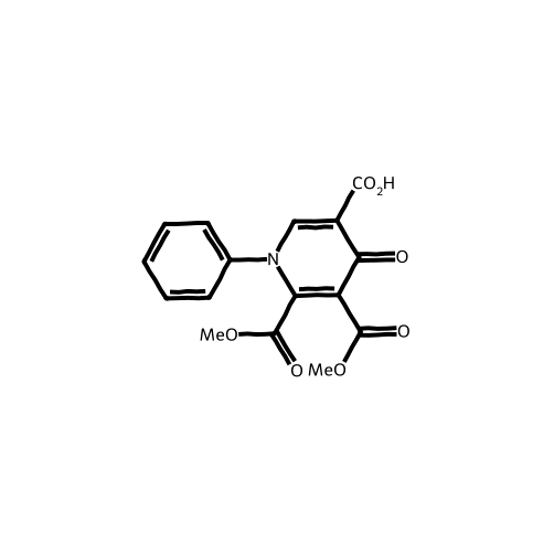 COC(=O)c1c(C(=O)OC)n(-c2ccccc2)cc(C(=O)O)c1=O